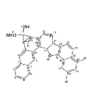 COC1(O)C2(C)c3cc4ccccc4cc3C3=[N+](C=NC4c5ccc6c(C)cc(C)cc6c5OC34)C12C